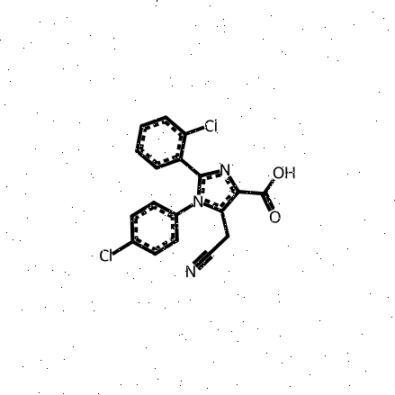 N#CCc1c(C(=O)O)nc(-c2ccccc2Cl)n1-c1ccc(Cl)cc1